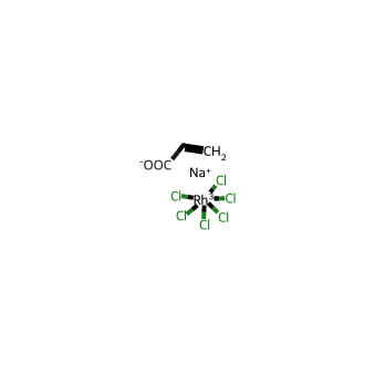 C=CC(=O)[O-].[Cl][Rh-3]([Cl])([Cl])([Cl])([Cl])[Cl].[Na+]